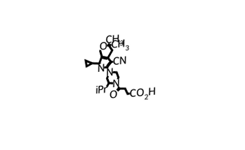 CC(C)C1CN(c2nc(C3CC3)c3c(c2C#N)CC(C)(C)OC3)CCN1C(=O)CCC(=O)O